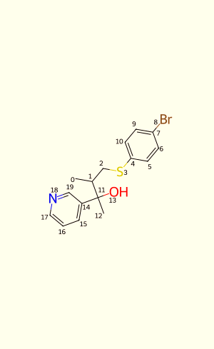 CC(CSc1ccc(Br)cc1)C(C)(O)c1cccnc1